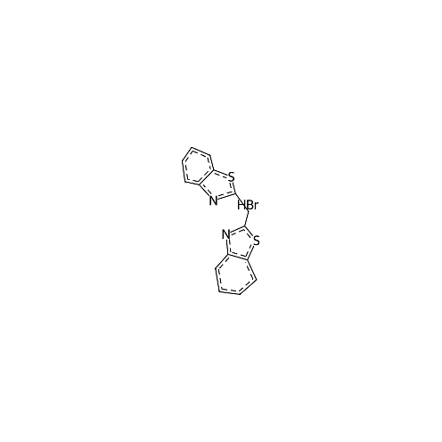 Br.c1ccc2sc(Cc3nc4ccccc4s3)nc2c1